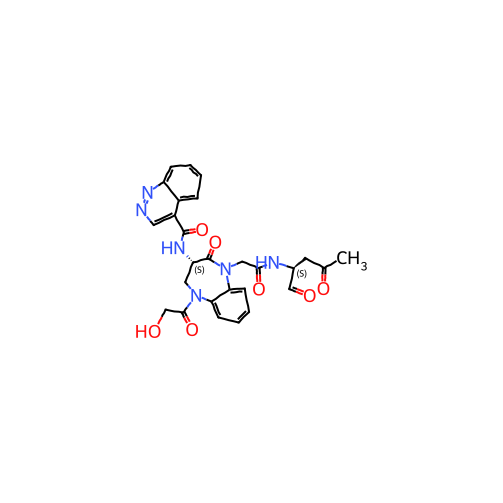 CC(=O)C[C@@H](C=O)NC(=O)CN1C(=O)[C@@H](NC(=O)c2cnnc3ccccc23)CN(C(=O)CO)c2ccccc21